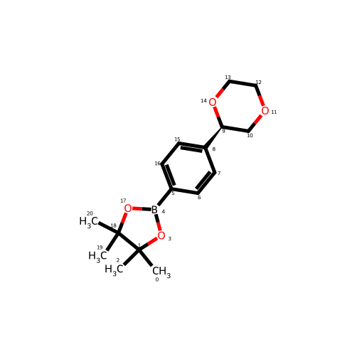 CC1(C)OB(c2ccc([C@@H]3COCCO3)cc2)OC1(C)C